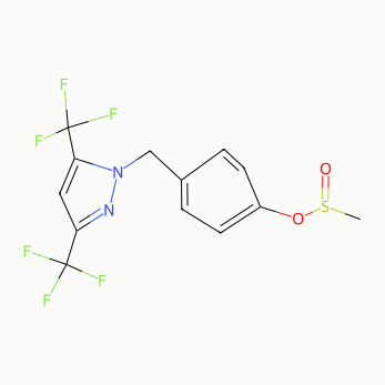 CS(=O)Oc1ccc(Cn2nc(C(F)(F)F)cc2C(F)(F)F)cc1